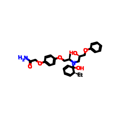 CC[C@@H]1C=CC=CC1(O)N(C[C@H](O)COc1ccccc1)[C@H](C)COc1ccc(OCC(N)=O)cc1